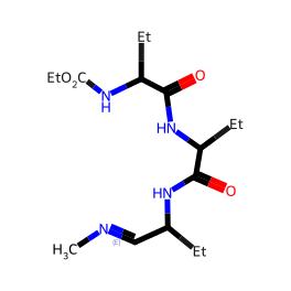 CCOC(=O)NC(CC)C(=O)NC(CC)C(=O)NC(/C=N/C)CC